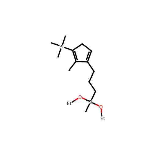 CCO[Si](C)(CCCC1=CC[C]([Pt]([CH3])([CH3])[CH3])=C1C)OCC